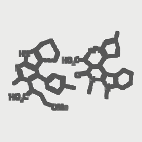 CCCC(C(=O)O)c1c(-c2ccc(C)cc2)c2c3c(n(C)c2n(C)c1=O)CCCC3.COCCC(C(=O)O)c1c(C)nc2[nH]c3c(c2c1-c1ccc(C)cc1)CCCC3